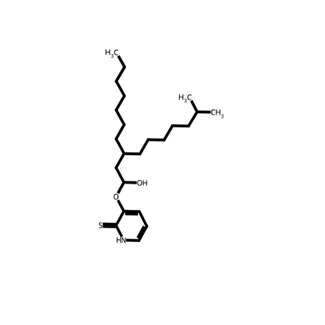 CCCCCCCC(CCCCCC(C)C)CC(O)Oc1ccc[nH]c1=S